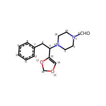 O=CN1CCN(C(Cc2ccccc2)C2=COCO2)CC1